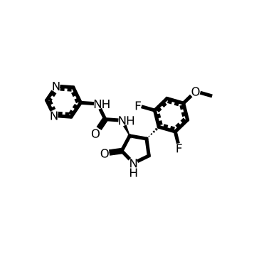 COc1cc(F)c([C@@H]2CNC(=O)[C@H]2NC(=O)Nc2cncnc2)c(F)c1